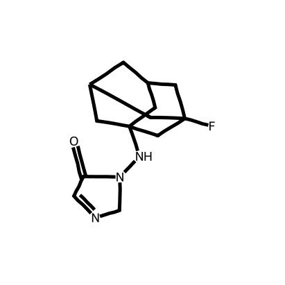 O=C1C=NCN1NC12CC3CC(CC(F)(C3)C1)C2